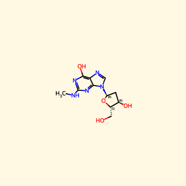 CNc1nc(O)c2ncn([C@H]3C[C@@H](O)[C@H](CO)O3)c2n1